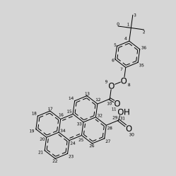 CC(C)(C)c1ccc(OOC(=O)c2ccc3c4cccc5cccc(c6ccc(C(=O)O)c2c63)c54)cc1